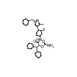 Cc1nn(Cc2ccccc2)cc1-c1ccc(NC(=O)C(OC(N)=O)C(c2ccccc2)c2ccccc2)cc1F